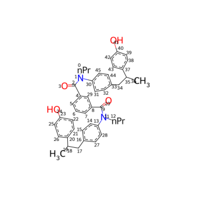 CCCN(C(=O)c1cccc(C(=O)N(CCC)c2ccc(CC(C)c3ccc(O)cc3)cc2)c1)c1ccc(CC(C)c2ccc(O)cc2)cc1